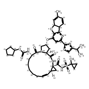 CC1=CC2Oc3c(O[C@@H]4C[C@H]5C(=O)N[C@]6(C(=O)NS(=O)(=O)C7(C)CC7)C[C@H]6/C=C\CCCCC[C@H](NC(=O)OC6CCCC6)C(=O)N5C4)cc(-c4nc(C(C)C)cs4)nc3C2C=C1